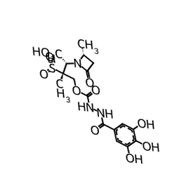 C[C@@H]1CC(=O)N1[C@@H](C(=O)O)[C@](C)(COC(=O)NNC(=O)c1cc(O)c(O)c(O)c1)[SH](=O)=O